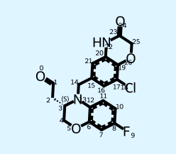 O=CC[C@H]1COc2cc(F)ccc2N1Cc1cc(Cl)c2c(c1)NC(=O)CO2